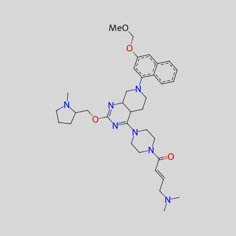 COCOc1cc(N2CCC3C(N4CCN(C(=O)/C=C/CN(C)C)CC4)=NC(OCC4CCCN4C)=NC3C2)c2ccccc2c1